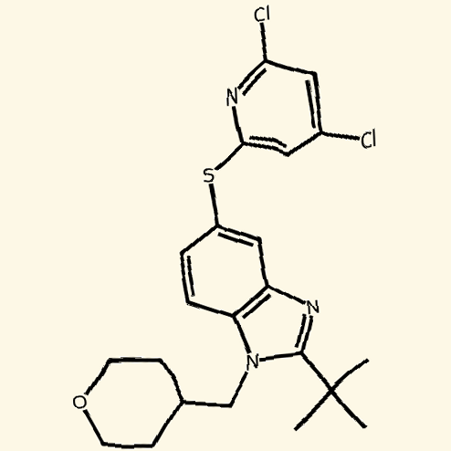 CC(C)(C)c1nc2cc(Sc3cc(Cl)cc(Cl)n3)ccc2n1CC1CCOCC1